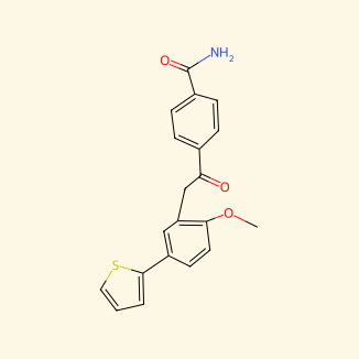 COc1ccc(-c2cccs2)cc1CC(=O)c1ccc(C(N)=O)cc1